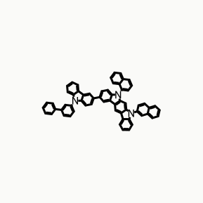 c1ccc(-c2cccc(-n3c4ccccc4c4cc(-c5ccc6c(c5)c5cc7c8ccccc8n(-c8ccc9ccccc9c8)c7cc5n6-c5cccc6ccccc56)ccc43)c2)cc1